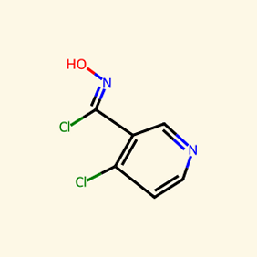 ON=C(Cl)c1cnccc1Cl